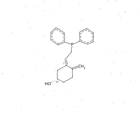 C=C1CC[C@H](O)C/C1=C/CP(c1ccccc1)c1ccccc1